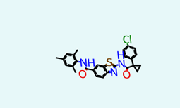 Cc1cc(C)c(NC(=O)c2ccc3nc(NC(=O)C4(c5ccc(Cl)cc5)CC4)sc3c2)c(C)c1